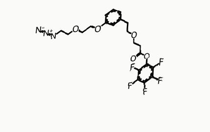 [N-]=[N+]=NCCOCCOc1cccc(CCOCCC(=O)Oc2c(F)c(F)c(F)c(F)c2F)c1